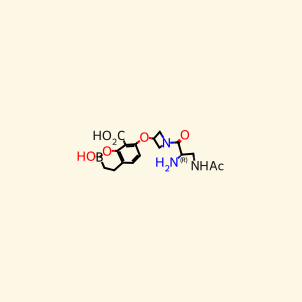 CC(=O)NC[C@@H](N)C(=O)N1CC(Oc2ccc3c(c2C(=O)O)OB(O)CC3)C1